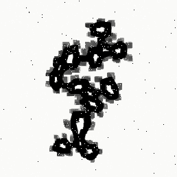 c1ccc(-n2c3ccccc3c3cc(-c4ccc5c(c4)c4cc(-c6cccc7oc8ccc(-c9ccc%10c%11ccccc%11n(-c%11ccccc%11)c%10c9)cc8c67)ccc4n5-c4ccccc4)ccc32)cc1